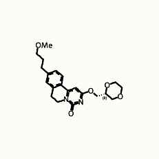 COCCCc1ccc2c(c1)CCn1c-2cc(OC[C@H]2COCCO2)nc1=O